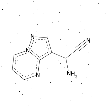 N#CC(N)c1cnn2cccnc12